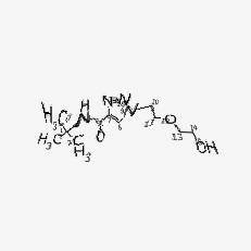 CC(C)(C)NC(=O)c1cn(CCOCCO)nn1